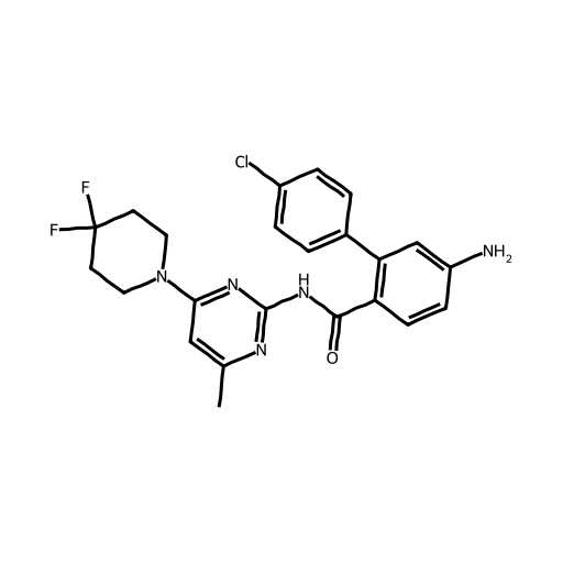 Cc1cc(N2CCC(F)(F)CC2)nc(NC(=O)c2ccc(N)cc2-c2ccc(Cl)cc2)n1